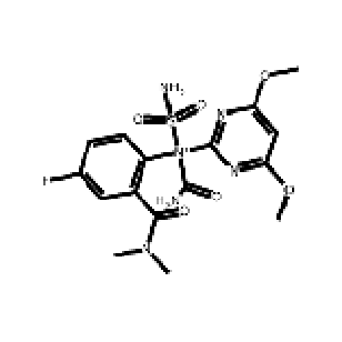 COc1cc(OC)nc([N+](C(N)=O)(c2ccc(F)cc2C(=O)N(C)C)S(N)(=O)=O)n1